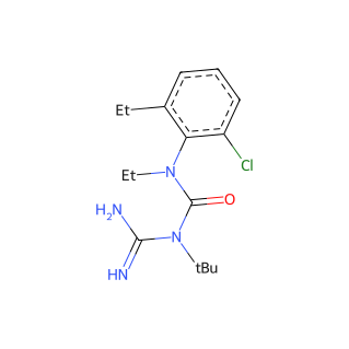 CCc1cccc(Cl)c1N(CC)C(=O)N(C(=N)N)C(C)(C)C